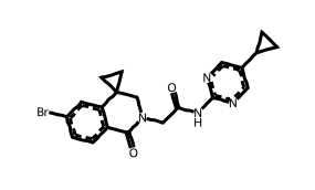 O=C(CN1CC2(CC2)c2cc(Br)ccc2C1=O)Nc1ncc(C2CC2)cn1